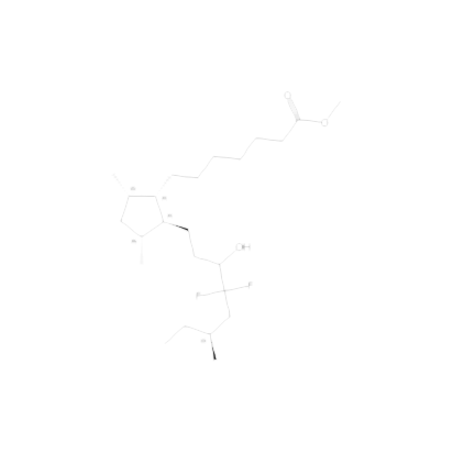 CC[C@H](C)CC(F)(F)C(O)CC[C@@H]1[C@@H](CCCCCCC(=O)OC)[C@@H](C)C[C@H]1C